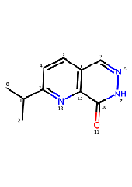 CC(C)c1ccc2cn[nH]c(=O)c2n1